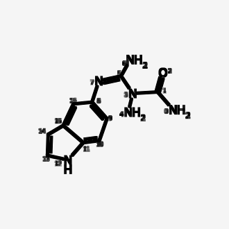 NC(=O)N(N)/C(N)=N\c1ccc2[nH]ccc2c1